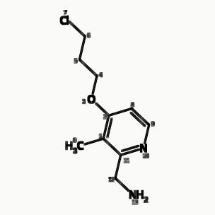 Cc1c(OCCCCl)ccnc1CN